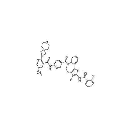 Cc1cnc(N2CC3(CCOCC3)C2)c(C(=O)Nc2ccc(C(=O)N3CCc4c(sc(NC(=O)c5ccccc5F)c4F)-c4ccccc43)cc2)c1